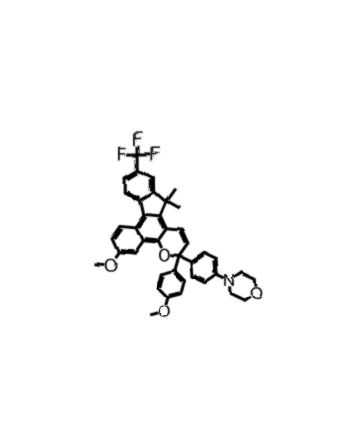 COc1ccc(C2(c3ccc(N4CCOCC4)cc3)C=Cc3c4c(c5ccc(OC)cc5c3O2)-c2ccc(C(F)(F)F)cc2C4(C)C)cc1